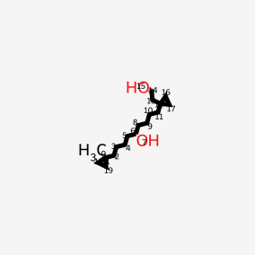 CC1(CCCCC(O)CCCCC2(CCO)CC2)CC1